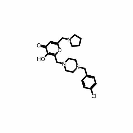 O=c1cc(CN2CCCC2)oc(CN2CCN(Cc3ccc(Cl)cc3)CC2)c1O